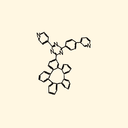 c1cncc(-c2ccc(-c3nc(-c4ccncc4)nc(-c4ccc5c6ccccc6c6ccccc6c6ccccc6c6ccccc6c5c4)n3)cc2)c1